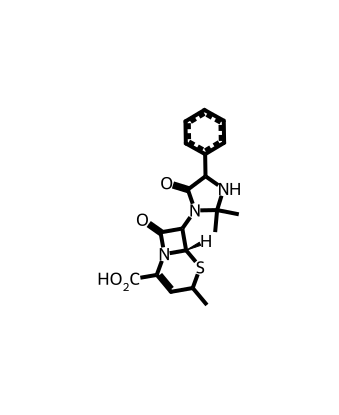 CC1C=C(C(=O)O)N2C(=O)C(N3C(=O)C(c4ccccc4)NC3(C)C)[C@@H]2S1